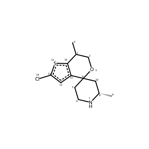 CC1COC2(CCN[C@@H](C)C2)c2cc(Cl)sc21